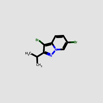 CC(C)c1nn2cc(Br)ccc2c1Br